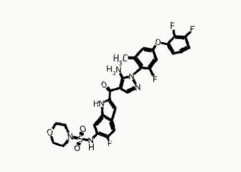 Cc1cc(Oc2cccc(F)c2F)cc(F)c1-n1ncc(C(=O)c2cc3cc(F)c(NS(=O)(=O)N4CCOCC4)cc3[nH]2)c1N